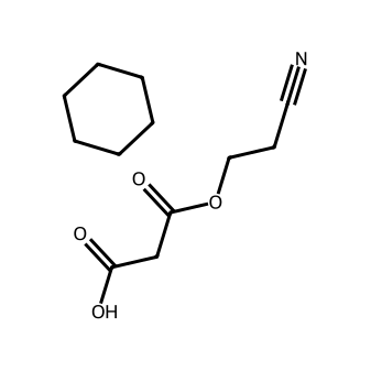 C1CCCCC1.N#CCCOC(=O)CC(=O)O